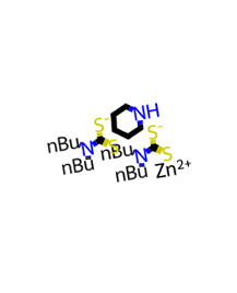 C1CCNCC1.CCCCN(CCCC)C(=S)[S-].CCCCN(CCCC)C(=S)[S-].[Zn+2]